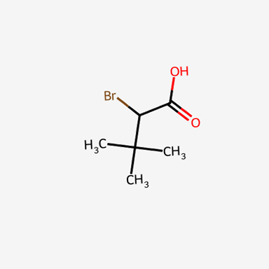 CC(C)(C)C(Br)C(=O)O